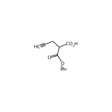 C#CCC(C(=O)O)C(=O)OC(C)CC